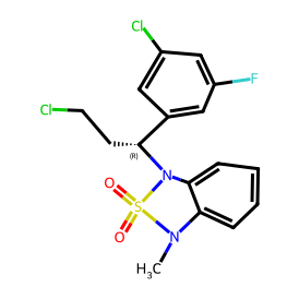 CN1c2ccccc2N([C@H](CCCl)c2cc(F)cc(Cl)c2)S1(=O)=O